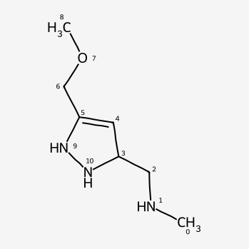 CNCC1C=C(COC)NN1